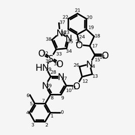 Cc1cccc(C)c1-c1cc(OC2CN(C(=O)C3Cc4ccccc4O3)C2)nc(NS(=O)(=O)c2cnn(C)c2)n1